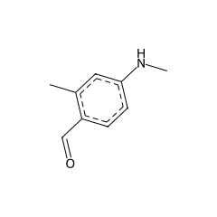 CNc1ccc(C=O)c(C)c1